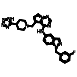 Fc1cccc(Cn2ncc3cc(Nc4ncnn5ccc(CN6CCC(c7nnn[nH]7)CC6)c45)ccc32)c1